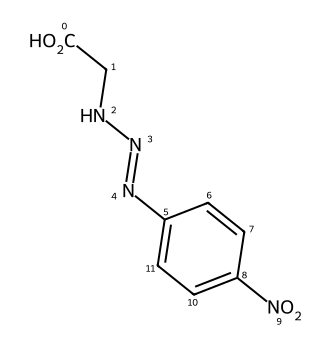 O=C(O)CNN=Nc1ccc([N+](=O)[O-])cc1